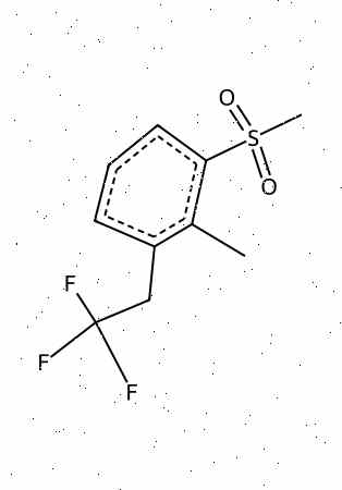 Cc1c(CC(F)(F)F)cccc1S(C)(=O)=O